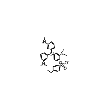 CCc1ccc(S(=O)(=O)[O-])cc1.CN(C)c1cccc([S+](c2cccc(N(C)C)c2)c2cccc(N(C)C)c2)c1